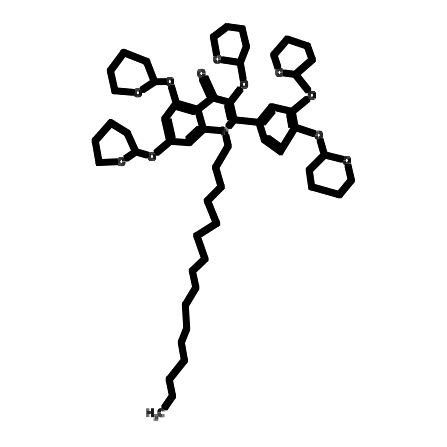 CCCCCCCCCCCCCCCCn1c(-c2ccc(OC3CCCCO3)c(OC3CCCCO3)c2)c(OC2CCCCO2)c(=O)c2c(OC3CCCCO3)cc(OC3CCCCO3)cc21